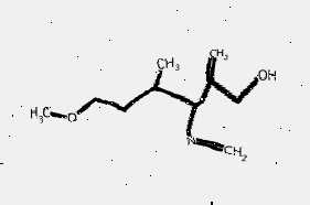 C=NC(C(=C)CO)C(C)CCOC